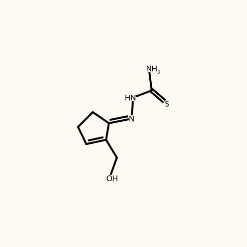 NC(=S)N/N=C1\CCC=C1CO